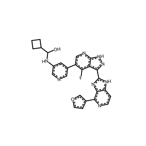 OC(Nc1cncc(-c2cnc3[nH]nc(-c4nc5c(-c6ccoc6)nccc5[nH]4)c3c2F)c1)C1CCC1